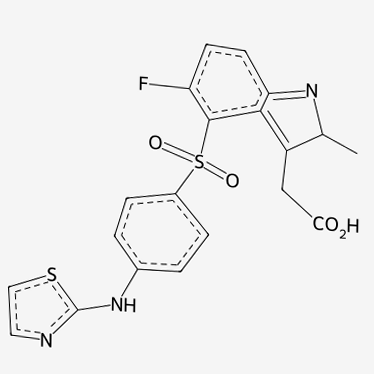 CC1N=c2ccc(F)c(S(=O)(=O)c3ccc(Nc4nccs4)cc3)c2=C1CC(=O)O